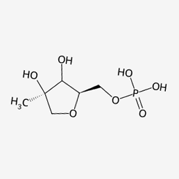 C[C@@]1(O)CO[C@H](COP(=O)(O)O)C1O